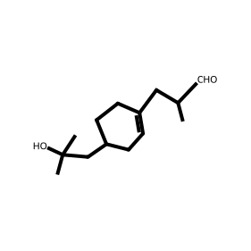 CC(C=O)CC1=CCC(CC(C)(C)O)CC1